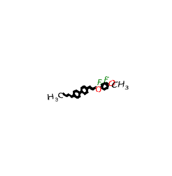 CCCCCC1CCC(C2CCC(/C=C/COc3ccc(OC)c(F)c3F)CC2)CC1